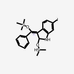 C[SiH](C)OC1Nc2cc(I)ccc2/C1=C(\O[Si](C)(C)C)c1ccccc1